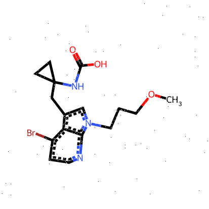 COCCCn1cc(CC2(NC(=O)O)CC2)c2c(Br)ccnc21